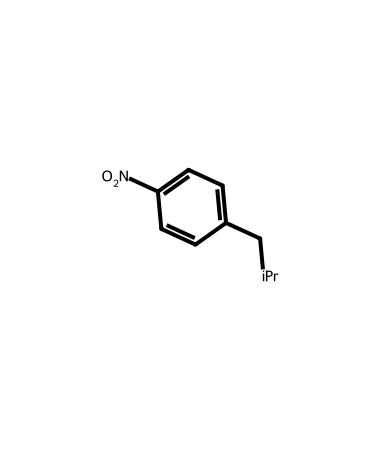 CC(C)Cc1ccc([N+](=O)[O-])cc1